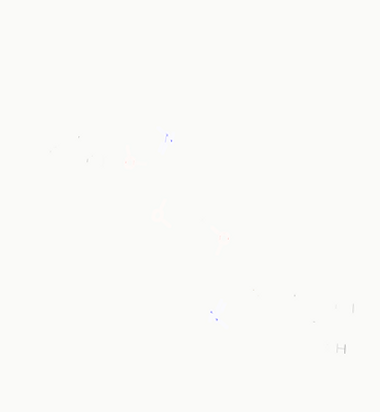 CC(C)(C)c1cccc2nc(-c3cc4oc(-c5nc6cccc(C(C)(C)C)c6s5)cc4o3)oc12